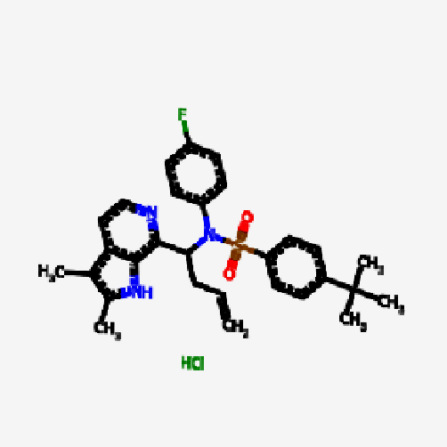 C=CCC(c1nccc2c(C)c(C)[nH]c12)N(c1ccc(F)cc1)S(=O)(=O)c1ccc(C(C)(C)C)cc1.Cl